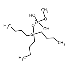 CCCC[Si](CCCC)(CCCC)[O][Zr]([OH])([OH])[O]C